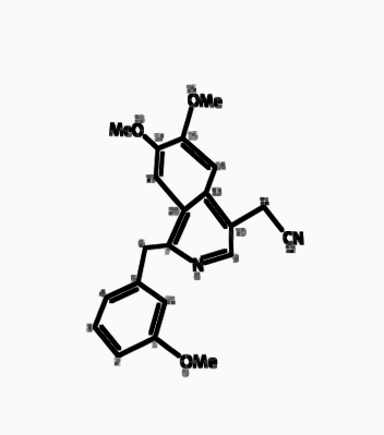 COc1cccc(Cc2ncc(CC#N)c3cc(OC)c(OC)cc23)c1